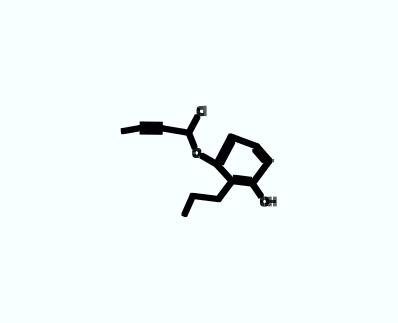 CC#CC(Cl)Oc1cc[c]c(O)c1CCC